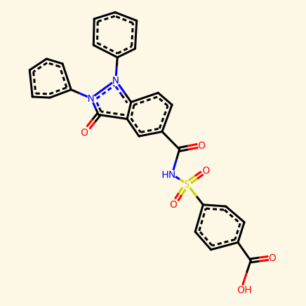 O=C(O)c1ccc(S(=O)(=O)NC(=O)c2ccc3c(c2)c(=O)n(-c2ccccc2)n3-c2ccccc2)cc1